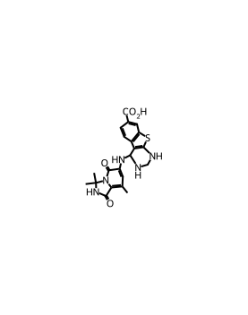 Cc1cc(NC2NCNc3sc4cc(C(=O)O)ccc4c32)c(=O)n2c1C(=O)NC2(C)C